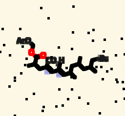 CCC(C)CC(C)CC(C)CC(C)/C=C(C)/C=C(/CC(C)C(=O)OCOC(C)=O)C(=O)O